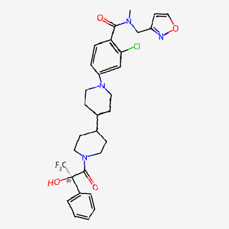 CN(Cc1ccon1)C(=O)c1ccc(N2CCC(C3CCN(C(=O)[C@](O)(c4ccccc4)C(F)(F)F)CC3)CC2)cc1Cl